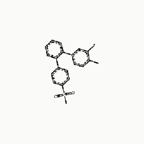 Cc1ccc(-c2ccccc2-c2ccc(S(C)(=O)=O)cc2)cc1F